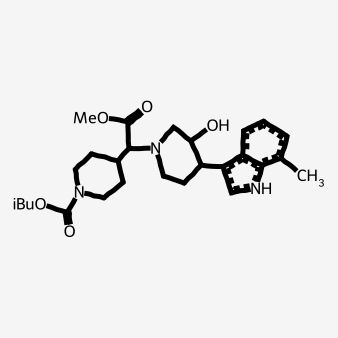 COC(=O)C(C1CCN(C(=O)OCC(C)C)CC1)N1CCC(c2c[nH]c3c(C)cccc23)C(O)C1